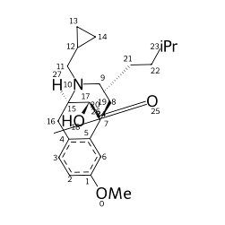 COc1ccc2c(c1)[C@]13CCN(CC4CC4)[C@H](C2)[C@]1(O)C[C@H](CCC(C)C)C(=O)C3